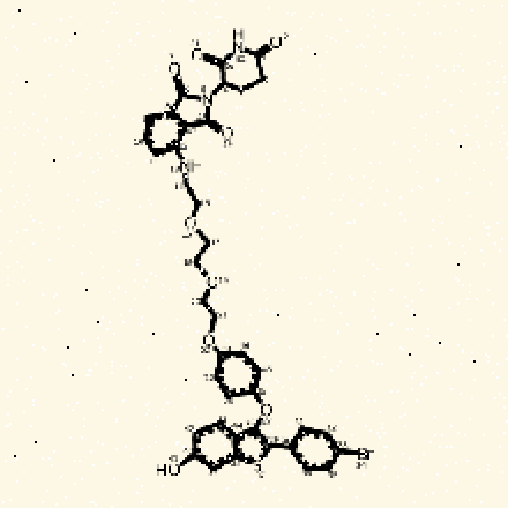 O=C1CCC(N2C(=O)c3cccc(NCCOCCOCCOc4ccc(Oc5c(-c6ccc(Br)cc6)sc6cc(O)ccc56)cc4)c3C2=O)C(=O)N1